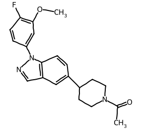 COc1cc(-n2ncc3cc(C4CCN(C(C)=O)CC4)ccc32)ccc1F